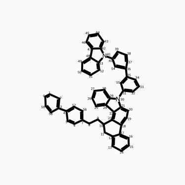 c1ccc(-c2ccc(CCC3Cc4ccccc4-c4ccc5c(c43)c3ccccc3n5-c3cccc(-c4cccc(-n5c6ccccc6c6ccccc65)c4)c3)cc2)cc1